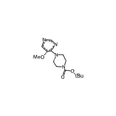 COc1cncnc1N1CCN(C(=O)OC(C)(C)C)CC1